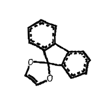 C1=COC2(O1)c1ccccc1-c1ccccc12